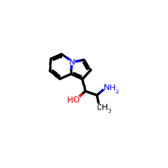 CC(N)C(O)c1ccn2ccccc12